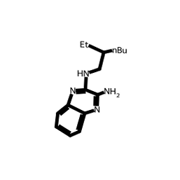 CCCCC(CC)CNc1nc2ccccc2nc1N